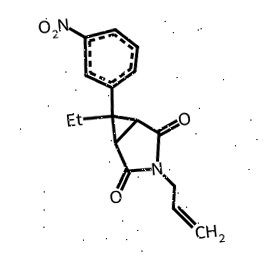 C=CCN1C(=O)C2C(C1=O)C2(CC)c1cccc([N+](=O)[O-])c1